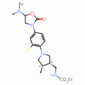 CCOC(=O)NC[C@@H]1CN(c2ccc(N3CC(N(C)C(C)=O)OC3=O)cc2F)C[C@@H]1C